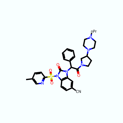 CCCN1CCN(C2CCN(C(=O)C(c3ccccc3)n3c(=O)n(S(=O)(=O)c4ccc(C)cn4)c4ccc(C#N)cc43)C2)CC1